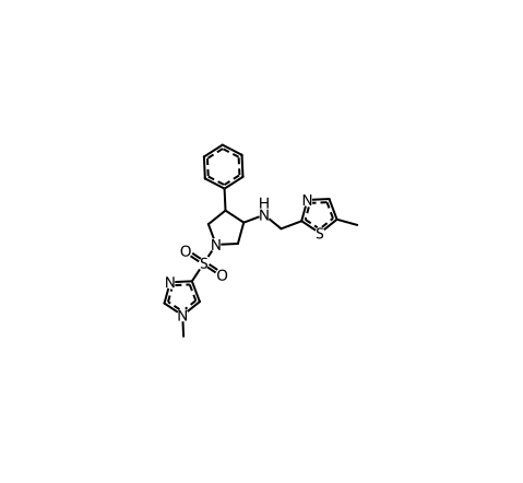 Cc1cnc(CNC2CN(S(=O)(=O)c3cn(C)cn3)CC2c2ccccc2)s1